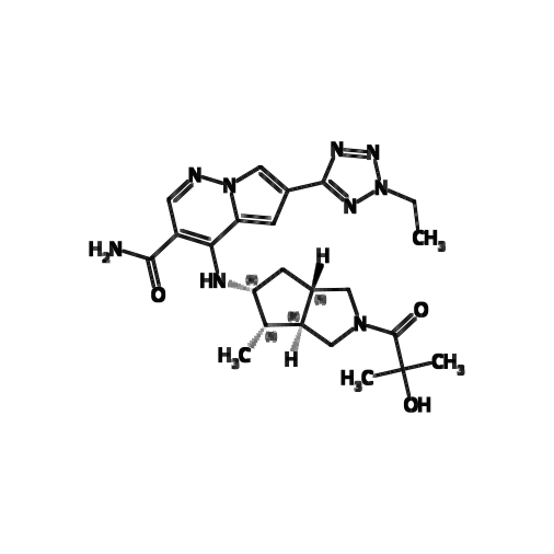 CCn1nnc(-c2cc3c(N[C@@H]4C[C@@H]5CN(C(=O)C(C)(C)O)C[C@H]5[C@@H]4C)c(C(N)=O)cnn3c2)n1